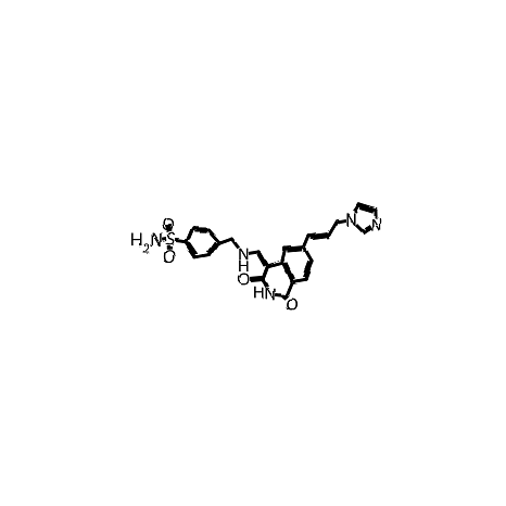 NS(=O)(=O)c1ccc(CN/C=C2\C(=O)NC(=O)c3ccc(/C=C/Cn4ccnc4)cc32)cc1